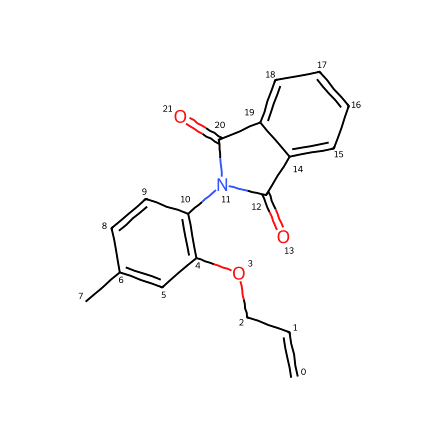 C=CCOc1cc(C)ccc1N1C(=O)c2ccccc2C1=O